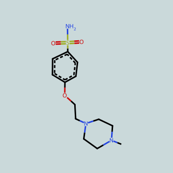 CN1CCN(CCOc2ccc(S(N)(=O)=O)cc2)CC1